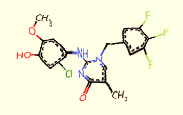 COc1cc(Nc2nc(=O)c(C)cn2Cc2cc(F)c(F)c(F)c2)c(Cl)cc1O